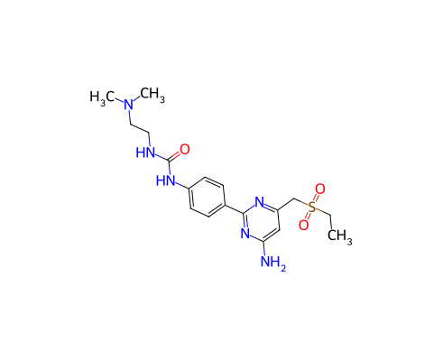 CCS(=O)(=O)Cc1cc(N)nc(-c2ccc(NC(=O)NCCN(C)C)cc2)n1